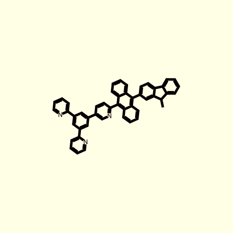 CC1c2ccccc2-c2ccc(-c3c4ccccc4c(-c4ccc(-c5cc(-c6ccccn6)cc(-c6ccccn6)c5)cn4)c4ccccc34)cc21